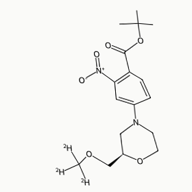 [2H]C([2H])([2H])OC[C@H]1CN(c2ccc(C(=O)OC(C)(C)C)c([N+](=O)[O-])c2)CCO1